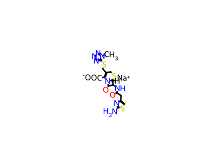 Cn1nnnc1SCC1=C(C(=O)[O-])N2C(=O)C(NC(=O)Cc3csc(N)n3)[C@H]2SC1.[Na+]